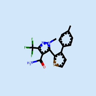 Cc1ccc(-c2ccsc2-c2c(C(N)=O)c(C(F)(F)F)nn2C)cc1